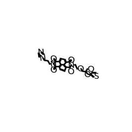 O=C1c2ccc3c4c(ccc(c24)C(=O)N1CCCn1ccnc1)C(=O)N(CCOCC1COc2cscc2O1)C3=O